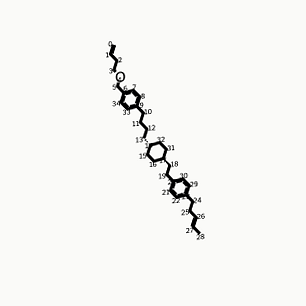 C=CCCOCc1ccc(CCCC[C@H]2CC[C@H](CCc3ccc(CCC=CC)cc3)CC2)cc1